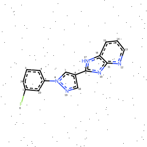 Fc1cccc(-n2cc(-c3nc4ncccc4[nH]3)cn2)c1